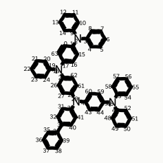 c1c(N(c2ccccc2)c2ccccc2)ccc(N(c2ccccc2)c2ccc(N(c3ccc(-c4ccccc4)cc3)c3ccc(N(c4ccccc4)c4ccccc4)cc3)cc2)c#1